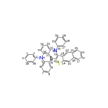 c1ccc(N2c3ccccc3B3c4sc5cc6ccccc6cc5c4N(c4ccccc4)c4cccc2c43)cc1